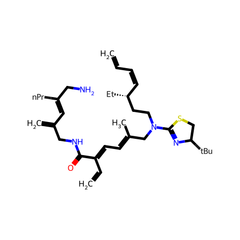 C=C/C=C\[C@@H](CC)CCN(C/C(C)=C/C=C(\C=C)C(=O)NCC(=C)/C=C(/CN)CCC)C1=NC(C(C)(C)C)CS1